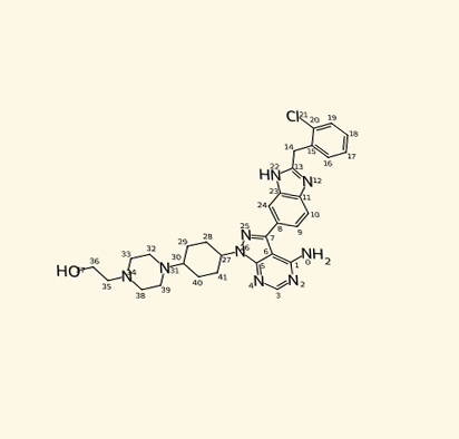 Nc1ncnc2c1c(-c1ccc3nc(Cc4ccccc4Cl)[nH]c3c1)nn2C1CCC(N2CCN(CCO)CC2)CC1